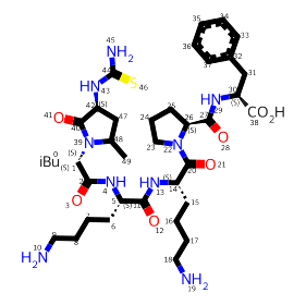 CC[C@H](C)[C@@H](C(=O)N[C@@H](CCCCN)C(=O)N[C@@H](CCCCN)C(=O)N1CCC[C@H]1C(=O)N[C@@H](Cc1ccccc1)C(=O)O)N1C(=O)[C@@H](NC(N)=S)CC1C